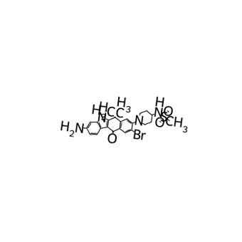 CC1(C)c2cc(N3CCC(NS(C)(=O)=O)CC3)c(Br)cc2C(=O)c2c1[nH]c1cc(N)ccc21